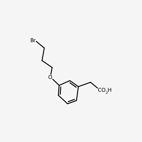 O=C(O)Cc1cccc(OCCCBr)c1